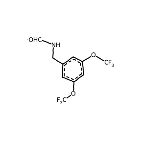 O=[C]NCc1cc(OC(F)(F)F)cc(OC(F)(F)F)c1